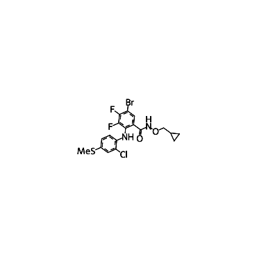 CSc1ccc(Nc2c(C(=O)NOCC3CC3)cc(Br)c(F)c2F)c(Cl)c1